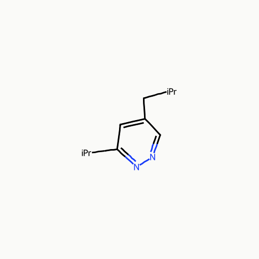 CC(C)Cc1cnnc(C(C)C)c1